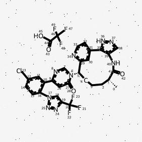 C[C@@H]1CCC[C@H](n2cnc(-c3cc(Cl)ccc3-n3cc(C(F)(F)F)nn3)cc2=O)c2cc(ccn2)-c2[nH]ncc2NC1=O.O=C(O)C(F)(F)F